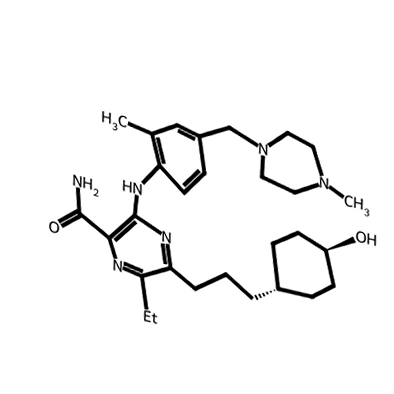 CCc1nc(C(N)=O)c(Nc2ccc(CN3CCN(C)CC3)cc2C)nc1CCC[C@H]1CC[C@H](O)CC1